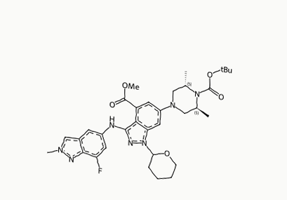 COC(=O)c1cc(N2C[C@H](C)N(C(=O)OC(C)(C)C)[C@@H](C)C2)cc2c1c(Nc1cc(F)c3nn(C)cc3c1)nn2C1CCCCO1